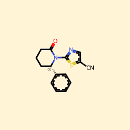 N#Cc1cnc(N2C(=O)CCC[C@H]2c2ccccc2)s1